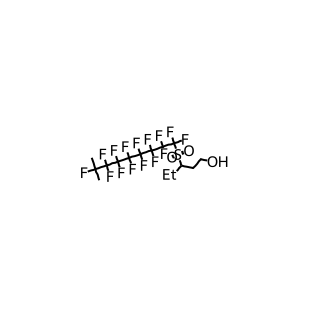 CCC(CCO)S(=O)(=O)C(F)(F)C(F)(F)C(F)(F)C(F)(F)C(F)(F)C(F)(F)C(F)(F)C(C)(C)F